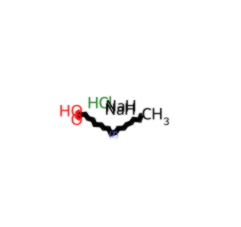 CCCCCCCC/C=C\CCCCCCCC(=O)O.Cl.[NaH].[NaH]